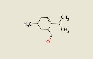 CC1CC=C(C(C)C)C(C=O)C1